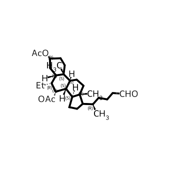 CC[C@H]1[C@@H](OC(C)=O)[C@@H]2[C@H](CC[C@]3(C)C([C@H](C)CCCC=O)CC[C@@H]23)[C@@]2(C)CC[C@@H](OC(C)=O)C[C@@H]12